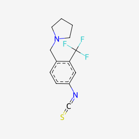 FC(F)(F)c1cc(N=C=S)ccc1CN1CCCC1